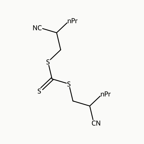 CCCC(C#N)CSC(=S)SCC(C#N)CCC